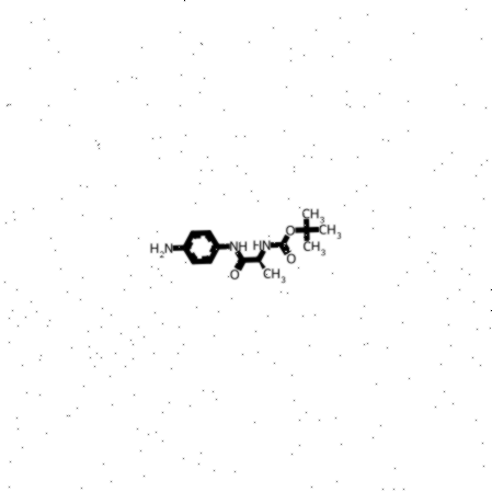 C[C@H](NC(=O)OC(C)(C)C)C(=O)Nc1ccc(N)cc1